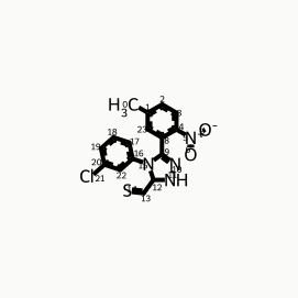 Cc1ccc([N+](=O)[O-])c(C2=NNC(C=S)N2c2cccc(Cl)c2)c1